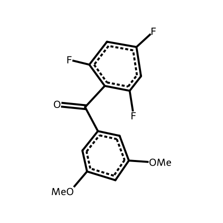 COc1cc(OC)cc(C(=O)c2c(F)cc(F)cc2F)c1